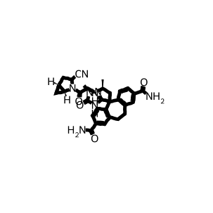 C[C@@H](CC1(c2nn(C)c(=O)[nH]2)c2ccc(C(N)=O)cc2CCc2cc(C(N)=O)ccc21)NCC(=O)N1C(C#N)C[C@@H]2C[C@@H]21